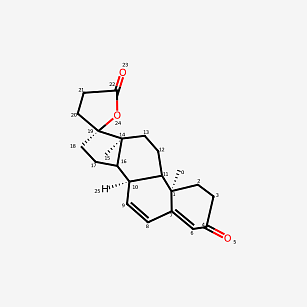 C[C@]12CCC(=O)C=C1C=C[C@@H]1C2CC[C@@]2(C)C1CC[C@@]21CCC(=O)O1